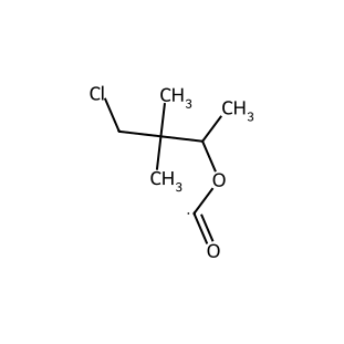 CC(O[C]=O)C(C)(C)CCl